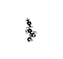 Nc1ncnc2c1c(-c1ccc(NC(=O)c3ccc(C(F)(F)F)cc3)c3c1OCO3)nn2[C@@H]1CCCNC1